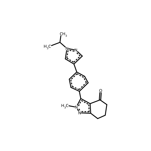 CC(C)n1cc(-c2ccc(-c3c4c(nn3C)CCCC4=O)cc2)cn1